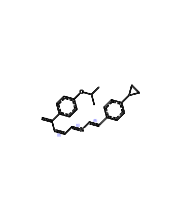 C=C(\C=C/C=N/C=C/c1ccc(C2CC2)cc1)c1ccc(OC(C)C)cc1